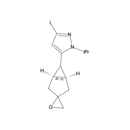 CC(C)n1nc(I)cc1C1[C@H]2CC3(CO3)C[C@@H]12